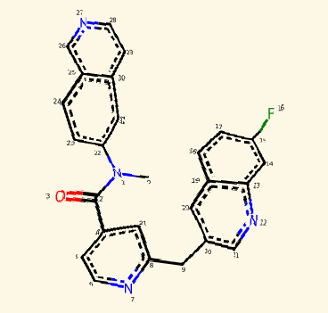 CN(C(=O)c1ccnc(Cc2cnc3cc(F)ccc3c2)c1)c1ccc2cnccc2c1